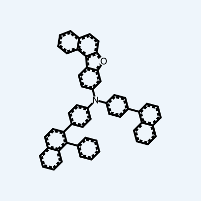 c1ccc(-c2c(-c3ccc(N(c4ccc(-c5cccc6ccccc56)cc4)c4ccc5c(c4)oc4ccc6ccccc6c45)cc3)ccc3ccccc23)cc1